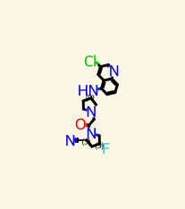 N#C[C@@H]1C[C@H](F)CN1C(=O)CN1CC[C@@H](Nc2cccc3ncc(Cl)cc23)C1